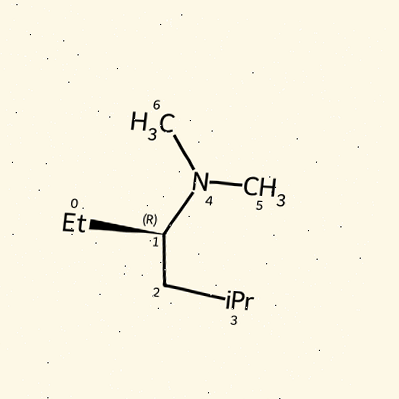 CC[C@H](CC(C)C)N(C)C